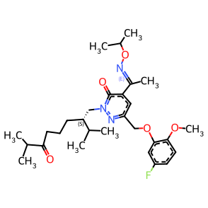 COc1ccc(F)cc1OCc1cc(/C(C)=N/OC(C)C)c(=O)n(C[C@@H](CCCC(=O)C(C)C)C(C)C)n1